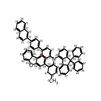 CC1C=CC(N(c2ccc(-c3ccc(-c4ccc5ccccc5c4)cc3)cc2)c2cccc3c2-c2ccccc2C3(c2ccccc2)c2ccccc2)=C(c2ccc3c(c2)oc2ccccc23)C1